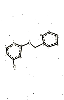 Clc1c[c]nc(OCc2ccccc2)c1